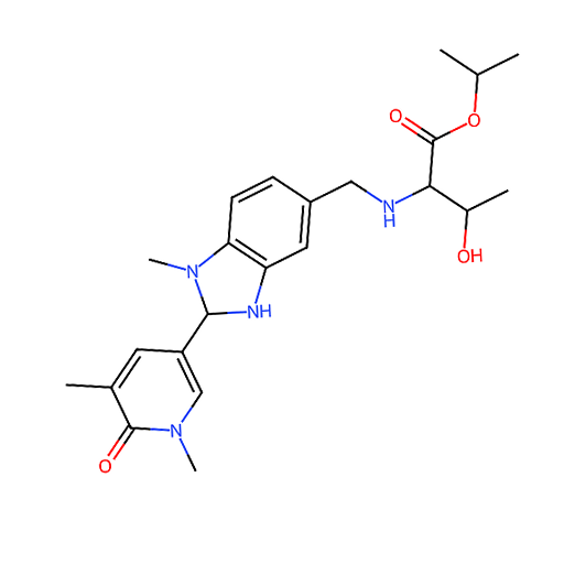 Cc1cc(C2Nc3cc(CNC(C(=O)OC(C)C)C(C)O)ccc3N2C)cn(C)c1=O